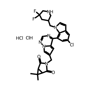 CC1(C)C2C(=O)N(Cc3cc4c(-c5cc(Cl)cc6ccn(CC7CNCC(F)(F)C7)c56)ncnn4c3)C(=O)C21.Cl.Cl